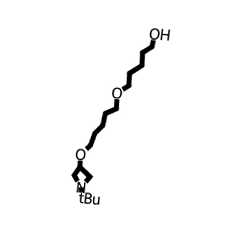 CC(C)(C)N1CC(OCCCCCOCCCCCO)C1